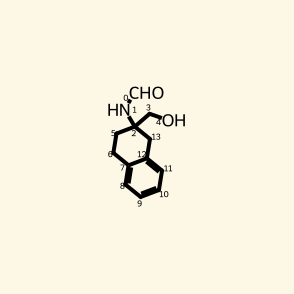 O=CNC1(CO)CCc2ccccc2C1